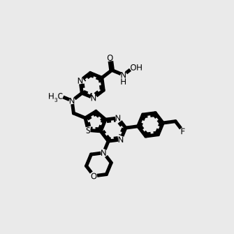 CN(Cc1cc2nc(-c3ccc(CF)cc3)nc(N3CCOCC3)c2s1)c1ncc(C(=O)NO)cn1